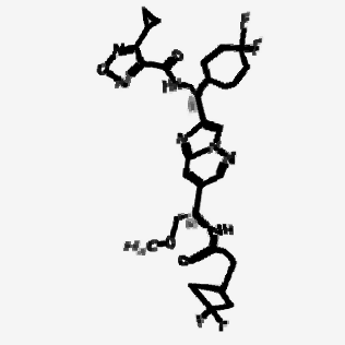 COC[C@@H](NC(=O)CC1CC(F)(F)C1)c1cnn2cc([C@@H](NC(=O)c3nonc3C3CC3)C3CCC(F)(F)CC3)nc2c1